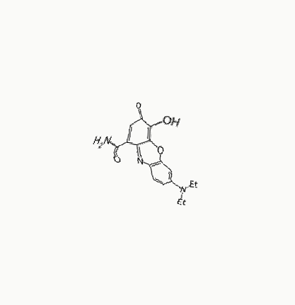 CCN(CC)c1ccc2nc3c(C(N)=O)cc(=O)c(O)c-3oc2c1